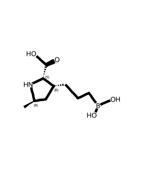 C[C@@H]1C[C@@H](CCCB(O)O)[C@@H](C(=O)O)N1